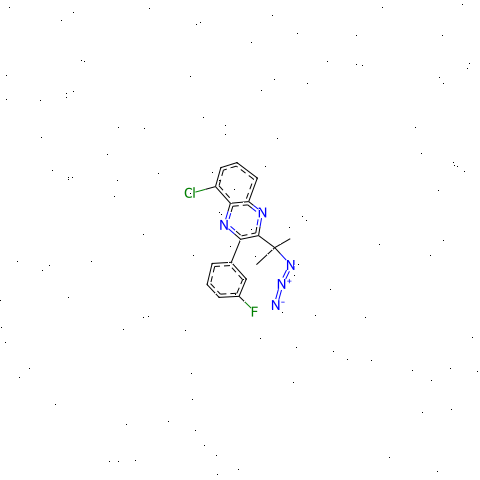 CC(C)(N=[N+]=[N-])c1nc2cccc(Cl)c2nc1-c1cccc(F)c1